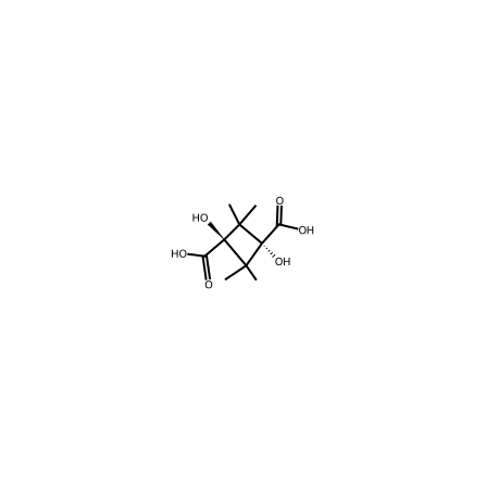 CC1(C)[C@](O)(C(=O)O)C(C)(C)[C@@]1(O)C(=O)O